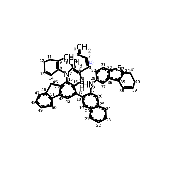 C=C/C=C\C1=C(C)N(C2=C(C)CCC=C2)c2c(c(-c3cc4ccccc4cc3Nc3ccc4sc5c(c4c3)C=CCC5)cc3c2Cc2ccccc2-3)B1